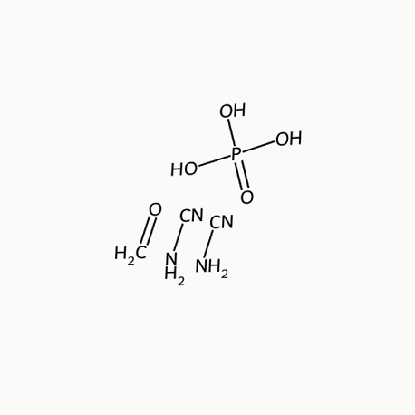 C=O.N#CN.N#CN.O=P(O)(O)O